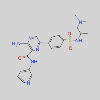 CC(CN(C)C)NS(=O)(=O)c1ccc(-c2cnc(N)c(C(=O)Nc3cccnc3)n2)cc1